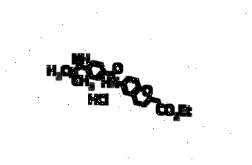 CCOC(=O)CC1CCc2cc(NC(=O)c3ccc(C(=N)N(C)C)cc3)ccc2O1.Cl